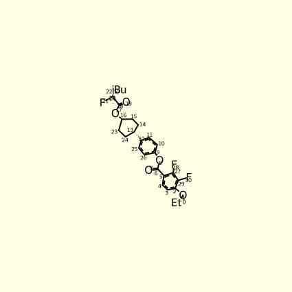 CCOc1ccc(C(=O)Oc2ccc([C@H]3CC[C@H](OC(=O)[C@@H](F)[C@@H](C)CC)CC3)cc2)c(F)c1F